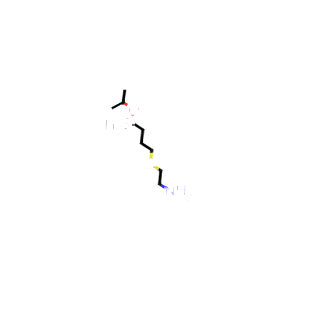 CC(C)O[SiH2]CCCSCCN